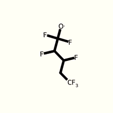 [O]C(F)(F)C(F)C(F)CC(F)(F)F